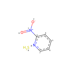 O=[N+]([O-])c1ccccn1.S